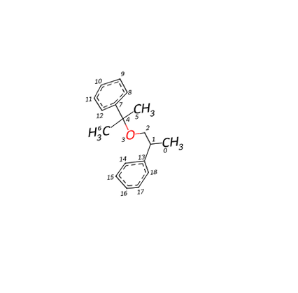 CC(COC(C)(C)c1ccccc1)c1ccccc1